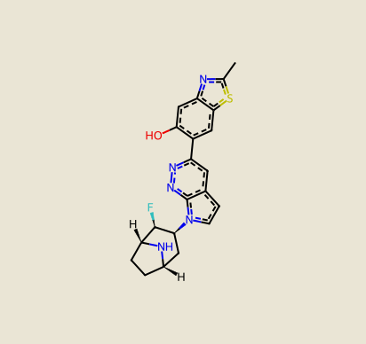 Cc1nc2cc(O)c(-c3cc4ccn([C@H]5C[C@@H]6CC[C@@H](N6)[C@H]5F)c4nn3)cc2s1